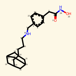 O=C(Cc1ccc(CNCCCC23CC4CC(CC(C4)C2)C3)cc1)NO